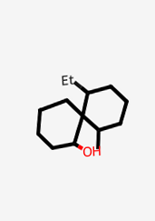 CCC1CCCC(C)C12CCCCC2O